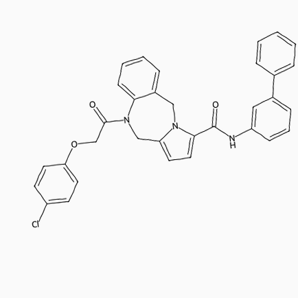 O=C(Nc1cccc(-c2ccccc2)c1)c1ccc2n1Cc1ccccc1N(C(=O)COc1ccc(Cl)cc1)C2